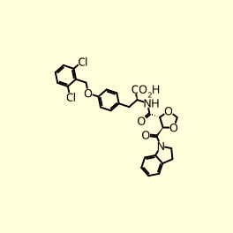 O=C(O)[C@H](Cc1ccc(OCc2c(Cl)cccc2Cl)cc1)NC(=O)[C@@H]1OCO[C@H]1C(=O)N1CCc2ccccc21